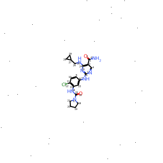 NC(=O)c1cnc(Nc2ccc(Cl)c(NC(=O)N3CCCC3)c2)nc1NCC1CC1